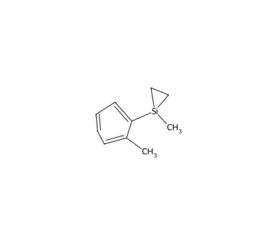 Cc1ccccc1[Si]1(C)CC1